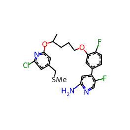 CSCc1cc(Cl)nc(OC(C)CCCOc2cc(-c3cc(N)ncc3F)ccc2F)c1